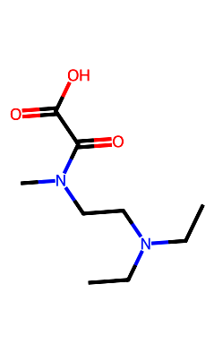 CCN(CC)CCN(C)C(=O)C(=O)O